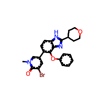 Cn1cc(-c2ccc3[nH]c(C4CCOCC4)nc3c2Oc2ccccc2)cc(Br)c1=O